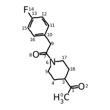 CC(=O)C1CCN(C(=O)Cc2ccc(F)cc2)CC1